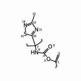 C=C(C)OC(=O)NC(C)(C)c1nc(C)ns1